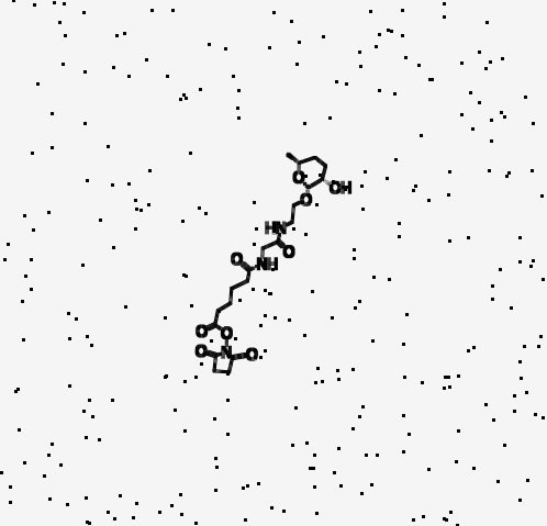 C[C@H]1CC[C@H](O)[C@H](OCCNC(=O)CNC(=O)CCCCC(=O)ON2C(=O)CCC2=O)O1